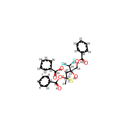 C[C@]1(OC(=O)c2ccccc2)SO[C@@](COC(=O)c2ccccc2)(C(F)F)[C@H]1OC(=O)c1ccccc1